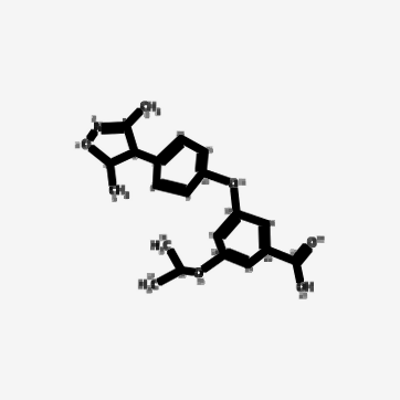 CC1=NOC(C)C1c1ccc(Oc2cc(OC(C)C)cc(C(=O)O)c2)cc1